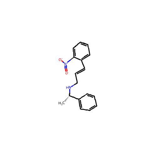 C[C@H](NC/C=C/c1ccccc1[N+](=O)[O-])c1ccccc1